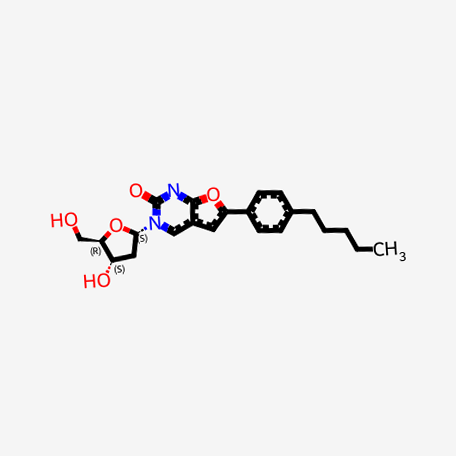 CCCCCc1ccc(-c2cc3cn([C@@H]4C[C@H](O)[C@@H](CO)O4)c(=O)nc3o2)cc1